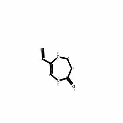 C=CC1=CNC(=O)CCO1